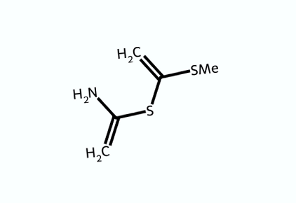 C=C(N)SC(=C)SC